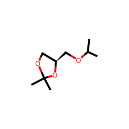 CC(C)OC[C@@H]1COC(C)(C)O1